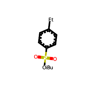 CCc1ccc(S(=O)(=O)OCC(C)C)cc1